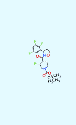 CC(C)(C)OC(=O)N1CC[C@H](C(=O)N2OCCC2c2cc(F)cc(F)c2F)[C@H](F)C1